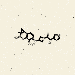 N[C@H](C(=O)N1CC(Oc2ccc3c(c2C(=O)O)OB(O)[C@@H]2CC32)C1)c1c[nH]cn1